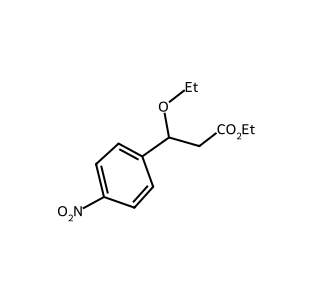 CCOC(=O)CC(OCC)c1ccc([N+](=O)[O-])cc1